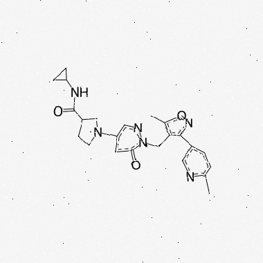 Cc1ccc(-c2noc(C)c2Cn2ncc(N3CCC(C(=O)NC4CC4)C3)cc2=O)cn1